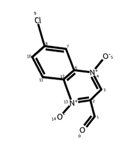 O=Cc1c[n+]([O-])c2cc(Cl)ccc2[n+]1[O-]